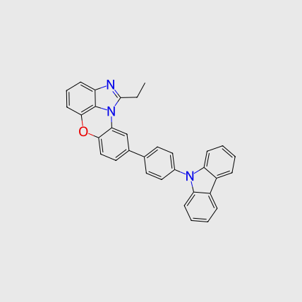 CCc1nc2cccc3c2n1-c1cc(-c2ccc(-n4c5ccccc5c5ccccc54)cc2)ccc1O3